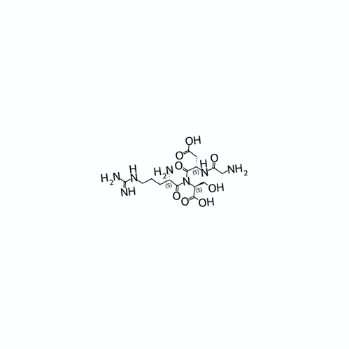 N=C(N)NCCC[C@H](N)C(=O)N(C(=O)[C@H](CC(=O)O)NC(=O)CN)[C@@H](CO)C(=O)O